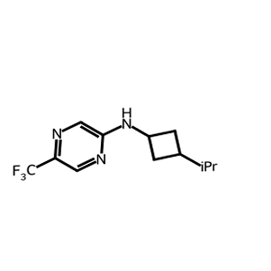 CC(C)C1CC(Nc2cnc(C(F)(F)F)cn2)C1